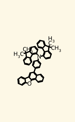 CC1(C)c2ccccc2-c2c(N(c3ccc(-c4cc5c6ccccc6oc5c5ccccc45)cc3)c3cccc4c3-c3ccccc3C4(C)C)cccc21